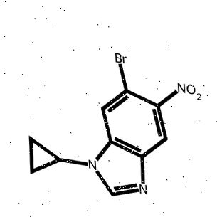 O=[N+]([O-])c1cc2ncn(C3CC3)c2cc1Br